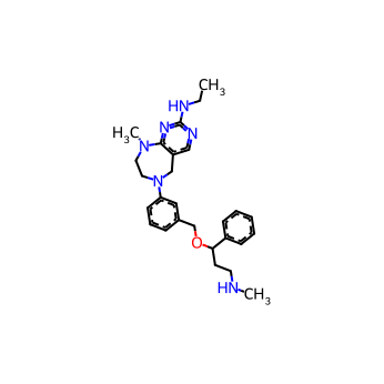 CCNc1ncc2c(n1)N(C)CCN(c1cccc(COC(CCNC)c3ccccc3)c1)C2